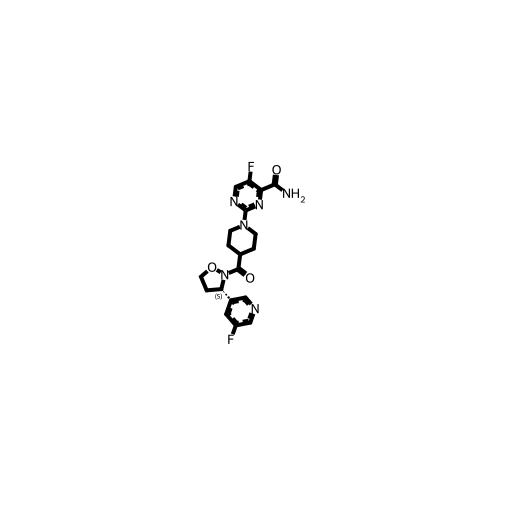 NC(=O)c1nc(N2CCC(C(=O)N3OCC[C@H]3c3cncc(F)c3)CC2)ncc1F